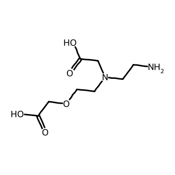 NCCN(CCOCC(=O)O)CC(=O)O